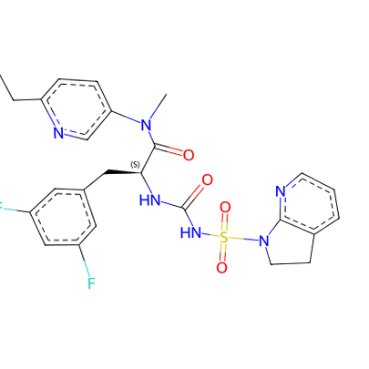 CCc1ccc(N(C)C(=O)[C@H](Cc2cc(F)cc(F)c2)NC(=O)NS(=O)(=O)N2CCc3cccnc32)cn1